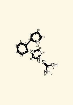 NC(O)=S.c1ccc(-c2ccco2)cc1.c1nncs1